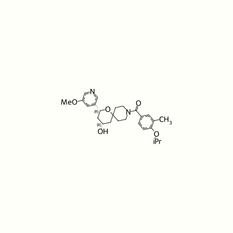 COc1cncc([C@H]2C[C@@H](O)CC3(CCN(C(=O)c4ccc(OC(C)C)c(C)c4)CC3)O2)c1